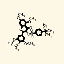 COc1cc(OC)c2c(=O)c(OS(=O)(=O)c3ccc(C(C)(C)C)cc3)c(-c3cc(OC)c(OC)c(OC)c3)oc2c1